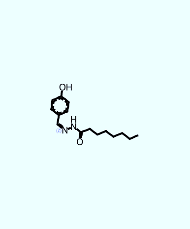 CCCCCCCC(=O)N/N=C\c1ccc(O)cc1